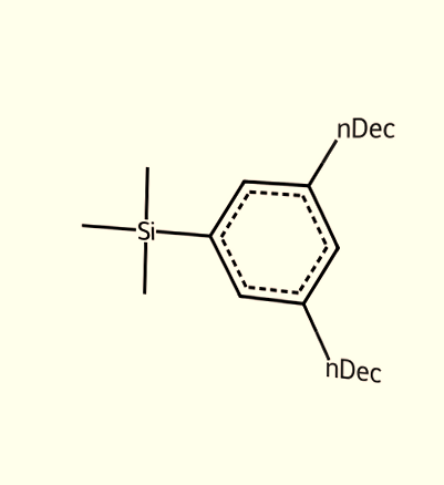 CCCCCCCCCCc1cc(CCCCCCCCCC)cc([Si](C)(C)C)c1